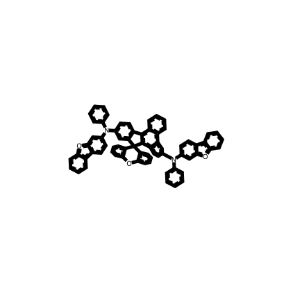 c1ccc(N(c2ccc3c(c2)C2(c4ccccc4Oc4ccccc42)c2c-3c3ccccc3c3cc(N(c4ccccc4)c4ccc5c(c4)oc4ccccc45)ccc23)c2ccc3c(c2)oc2ccccc23)cc1